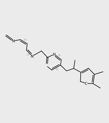 C=N/C=C\C=N/CC(=C)/N=C\C(=C/C)CC(C)C1=CC(C)=C(C)CC1